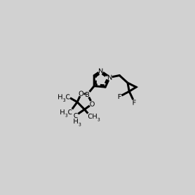 CC1(C)OB(c2cnn(CC3CC3(F)F)c2)OC1(C)C